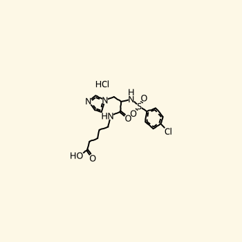 Cl.O=C(O)CCCCNC(=O)C(Cn1ccnc1)NS(=O)(=O)c1ccc(Cl)cc1